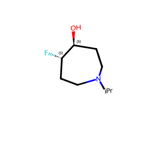 CC(C)N1CC[C@H](O)[C@@H](F)CC1